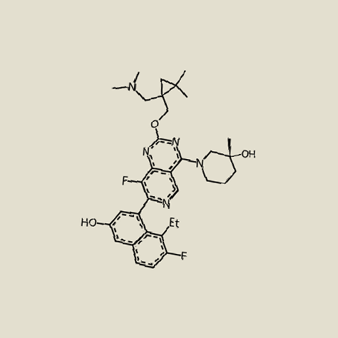 CCc1c(F)ccc2cc(O)cc(-c3ncc4c(N5CCC[C@@](C)(O)C5)nc(OCC5(CN(C)C)CC5(C)C)nc4c3F)c12